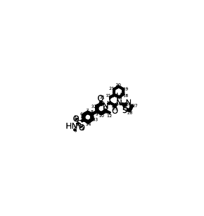 CNS(=O)(=O)c1ccc(-c2cc(C)n([C@@H](CC3CCCCC3)C(=O)Nc3nccs3)c(=O)c2)cc1